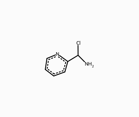 NC(Cl)c1ccccn1